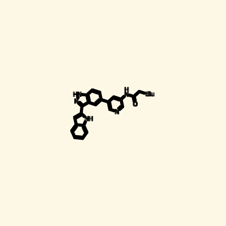 CC(C)(C)CC(=O)Nc1cncc(-c2ccc3[nH]nc(-c4cc5ccccc5[nH]4)c3c2)c1